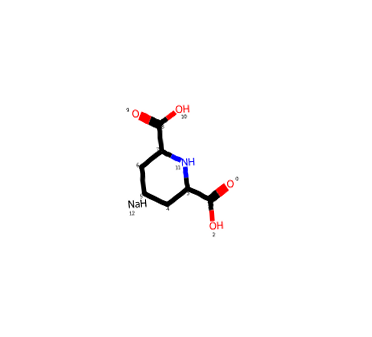 O=C(O)C1CCCC(C(=O)O)N1.[NaH]